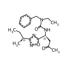 CC[C@H](C)c1noc([C@H](CC(C)=O)NC(=O)N(CC)Cc2ccccc2)n1